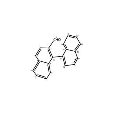 O=Cc1ccc2ccccc2c1-c1cccc2ccccc12